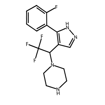 Fc1ccccc1-c1[nH]ncc1C(N1CCNCC1)C(F)(F)F